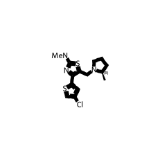 CNc1nc(-c2cc(Cl)cs2)c(CN2CCC[C@H]2C)s1